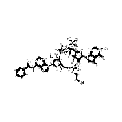 CC(C)[Si](O)(O[Si](O[C@H]1[C@H]2OP(=O)(OCCC#N)OC[C@H]3O[C@@H](n4cnc5c(NC(O)c6ccccc6)ncnc54)[C@H](F)[C@@H]3OP(=O)(S)OC[C@@H]1O[C@H]2n1cc(F)c2c(=O)n(C)cnc21)(C(C)C)C(C)C)C(C)C